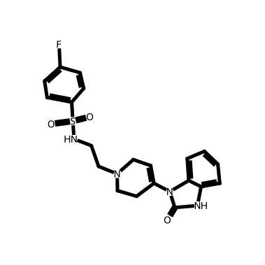 O=c1[nH]c2ccccc2n1C1=CCN(CCNS(=O)(=O)c2ccc(F)cc2)CC1